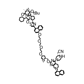 C[C@@H](C(=O)N[C@H](C(=O)N1CCC[C@H]1c1nc(-c2ccc(OCCOCCOCCO[C@@H]3C[C@@H](COc4nc5c(c(N6CCN[C@@H](CC#N)C6)n4)CCN(c4cccc6ccccc46)C5)N(C)C3)c3ccccc23)cs1)C1CCCCC1)N(C)C(=O)OC(C)(C)C